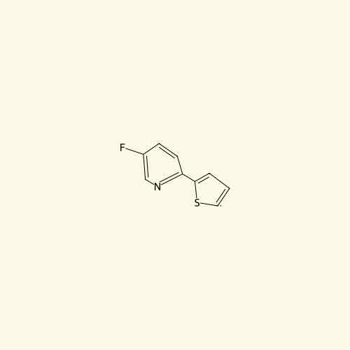 Fc1ccc(-c2cc[c]s2)nc1